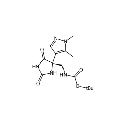 Cc1c([C@]2(CNC(=O)OC(C)(C)C)NC(=O)NC2=O)cnn1C